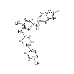 Cc1nc2ccc(Nc3ncc(Cl)c(NC4CCN(c5ccc(C#N)nn5)CC4)n3)cn2n1